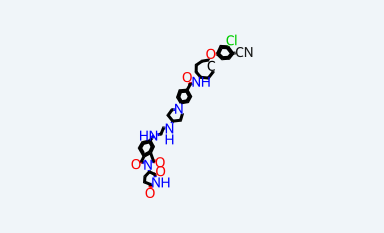 N#Cc1ccc(O[C@H]2CCC[C@H](NC(=O)c3ccc(N4CCC(NCCNc5ccc6c(c5)C(=O)N(C5CCC(=O)NC5=O)C6=O)CC4)cc3)CCC2)cc1Cl